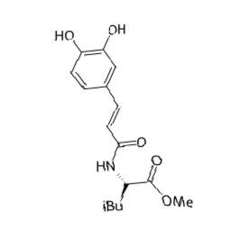 CC[C@H](C)[C@H](NC(=O)/C=C/c1ccc(O)c(O)c1)C(=O)OC